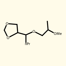 CCCC(OCC(C)OC)C1COCO1